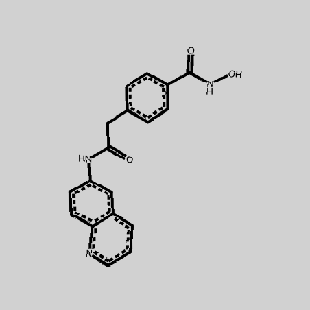 O=C(Cc1ccc(C(=O)NO)cc1)Nc1ccc2ncccc2c1